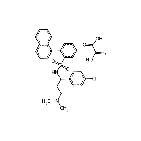 CN(C)CCC(NS(=O)(=O)c1ccccc1-c1cccc2ccccc12)c1ccc(Cl)cc1.O=C(O)C(=O)O